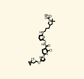 CC(C)(C)OC(=O)N1CC(CCCNc2cccc(SNC(=O)c3ccc(-n4ccc(OCCC5(C(F)(F)F)CC5)n4)nc3Cl)n2)CC1(C)C